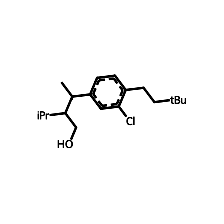 C[C](c1ccc(CCC(C)(C)C)c(Cl)c1)C(CO)C(C)C